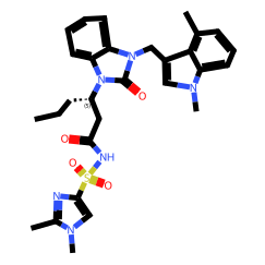 CCC[C@@H](CC(=O)NS(=O)(=O)c1cn(C)c(C)n1)n1c(=O)n(Cc2cn(C)c3cccc(C)c23)c2ccccc21